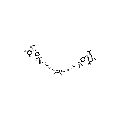 CN(C)[C@H]1Cc2c(Cl)cc(Cl)cc2[C@@H]1Oc1ccc(S(=O)(=O)NCCOCCOCCNC(=O)C(C)(C)C(=O)NCCOCCOCCNS(=O)(=O)c2ccc(O[C@H]3c4cc(Cl)cc(Cl)c4C[C@@H]3N(C)C)cc2)cc1